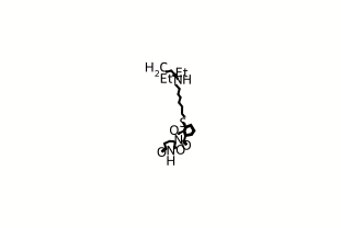 C=CCC(CC)(CC)NCCCCCCCCSc1cccc2c1C(=O)N(C1CCC(=O)NC1=O)C2=O